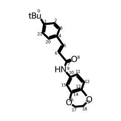 CC(C)(C)c1ccc(C=CC(=O)Nc2ccc3c(c2)OCCO3)cc1